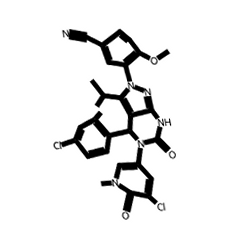 COc1ccc(C#N)cc1-n1nc2c(c1C(C)C)C(c1ccc(Cl)cc1C)N(c1cc(Cl)c(=O)n(C)c1)C(=O)N2